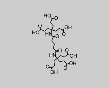 O=C(O)CCC(CCC(=O)O)(CCC(=O)O)NC(=O)CCCC(=O)NC(CCC(=O)O)(CCC(=O)O)CCC(=O)O